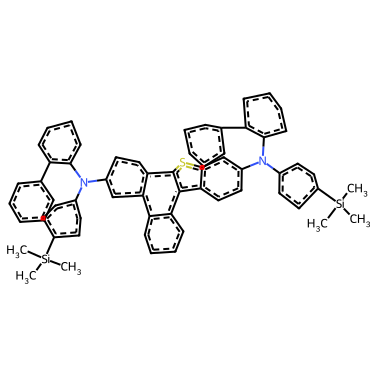 C[Si](C)(C)c1ccc(N(c2ccc3c(c2)sc2c4ccc(N(c5ccc([Si](C)(C)C)cc5)c5ccccc5-c5ccccc5)cc4c4ccccc4c32)c2ccccc2-c2ccccc2)cc1